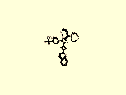 CC(C)(C(=O)O)c1ccc(-c2c(C3CC(c4ccc5ccccc5n4)C3)nc3c(N4CCOCC4)ccnn23)cc1